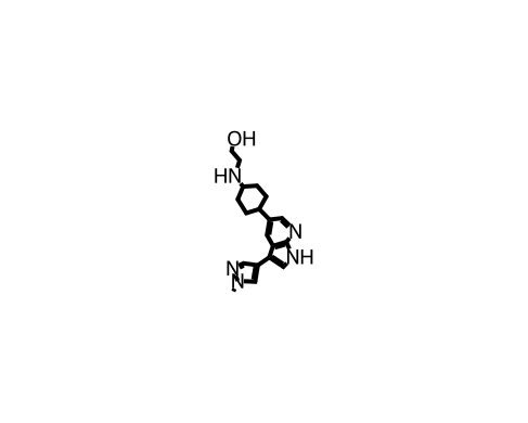 Cn1cc(-c2c[nH]c3ncc(C4CCC(NCCO)CC4)cc23)cn1